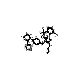 CCCCc1cn(-c2c(OC)cccc2C(C)(C)C)c(=O)n1Cc1ccc(-c2cccnc2-c2nnn[nH]2)cc1